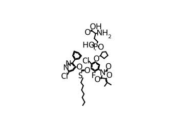 CC(C)=C1OC(=O)N(c2cc(OC3CCCC3)c(Cl)cc2F)C1=O.CCCCCCCCSC(=O)Oc1cc(Cl)nnc1-c1ccccc1.CP(=O)(O)CCC(N)C(=O)O